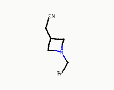 CC(C)CN1CC(CC#N)C1